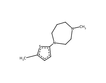 Cc1ccc(N2CCCN(C)CC2)s1